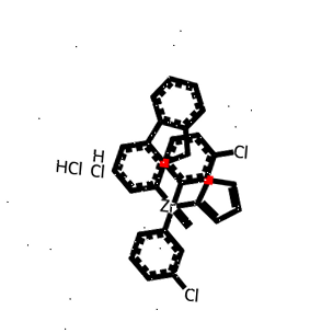 Cl.Cl.[CH2]=[Zr]([C]1=CC=CC1)([c]1cccc(Cl)c1)([c]1cccc(Cl)c1)[c]1cccc2c1Cc1ccccc1-2